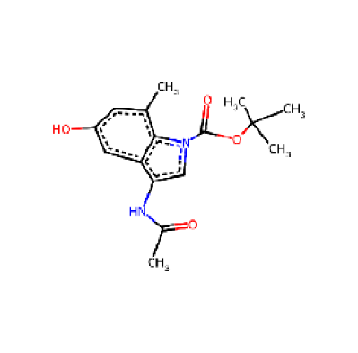 CC(=O)Nc1cn(C(=O)OC(C)(C)C)c2c(C)cc(O)cc12